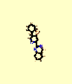 c1ccc2nc(-c3cc4sc5ccccc5c4cn3)ncc2c1